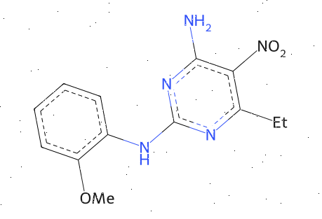 CCc1nc(Nc2ccccc2OC)nc(N)c1[N+](=O)[O-]